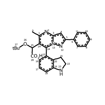 Cc1nc2cc(-c3ccccc3)nn2c(-c2cccc3c2CCN3)c1C(OC(C)(C)C)C(=O)O